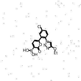 CCOc1cn(-c2ccc(Cl)cc2-c2ccc(B(O)O)c(=O)o2)nn1